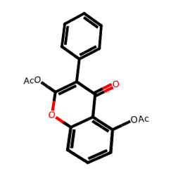 CC(=O)Oc1oc2cccc(OC(C)=O)c2c(=O)c1-c1ccccc1